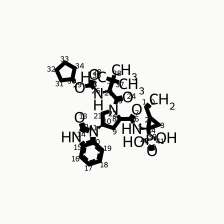 C=CC1C[C@]1(NC(=O)C1C[C@@H](n2c(=O)[nH]c3ccccc32)CN1C(=O)[C@@H](NC(=O)OC1CCCC1)C(C)(C)C)P(=O)(O)O